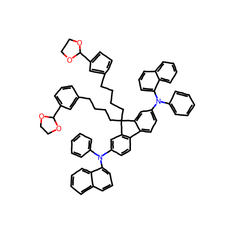 c1ccc(N(c2ccc3c(c2)C(CCCCc2cccc(C4OCCO4)c2)(CCCCc2cccc(C4OCCO4)c2)c2cc(N(c4ccccc4)c4cccc5ccccc45)ccc2-3)c2cccc3ccccc23)cc1